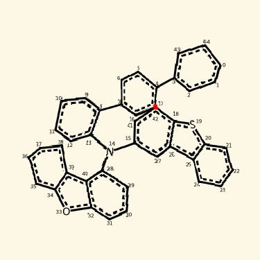 c1ccc(-c2ccc(-c3ccccc3N(c3ccc4sc5ccccc5c4c3)c3cccc4oc5ccccc5c34)cc2)cc1